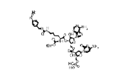 CC(C)(C)OC(=O)N[C@@H](CCCCNC(=O)OCc1ccc(N=[N+]=[N-])cc1)C(=O)O[C@H]1[C@@H](O)[C@H](n2cnc3c(N)ncnc32)O[C@@H]1COP(=O)(O)[C@H]1C[C@H](n2ccc(N)nc2=O)O[C@@H]1COP(=O)(O)O